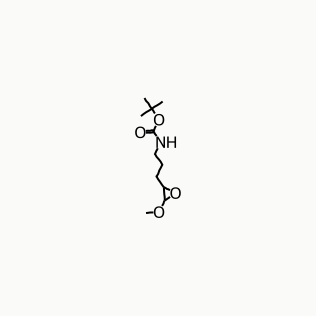 COC1OC1CCCNC(=O)OC(C)(C)C